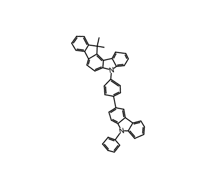 CC1(C)c2ccccc2-c2ccc3c(c21)c1ccccc1n3-c1ccc(-c2ccc3c(c2)c2ccccc2n3-c2ccccc2)cc1